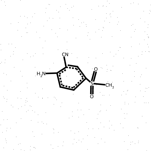 CS(=O)(=O)c1ccc(N)c(C#N)c1